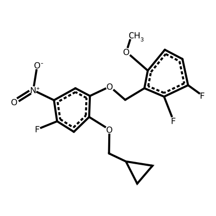 COc1ccc(F)c(F)c1COc1cc([N+](=O)[O-])c(F)cc1OCC1CC1